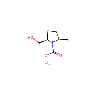 C[C@@H]1CC[C@H](CO)N1C(=O)OC(C)(C)C